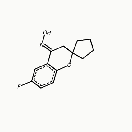 ON=C1CC2(CCCC2)Oc2ccc(F)cc21